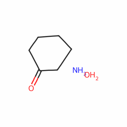 N.O.O=C1CCCCC1